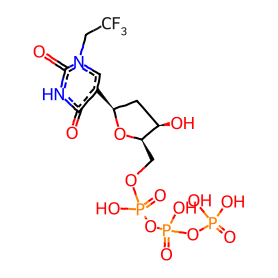 O=c1[nH]c(=O)n(CC(F)(F)F)cc1[C@H]1C[C@@H](O)[C@@H](COP(=O)(O)OP(=O)(O)OP(=O)(O)O)O1